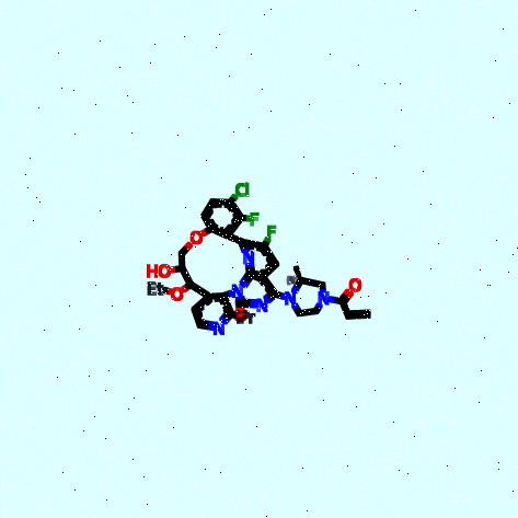 C=CC(=O)N1CCN(c2nc(=O)n3c4nc(c(F)cc24)-c2c(ccc(Cl)c2F)OCC(O)C(OCC)c2ccnc(C(C)C)c2-3)[C@@H](C)C1